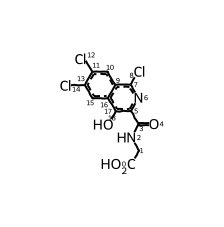 O=C(O)CNC(=O)c1nc(Cl)c2cc(Cl)c(Cl)cc2c1O